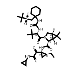 CC[C@H]1C[C@]1(NC(=O)[C@@H]1[C@@H]2[C@H](CN1C(=O)[C@@H](NC(=O)NC1(CS(=O)(=O)C(C)(C)C)CCCCC1)C(C)(C)C)C2(C)C)C(=O)C(=O)NC1CC1